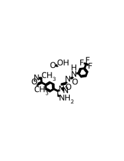 Cc1noc(C)c1-c1ccc([C@H](CN)[n+]2cc([N-]C(=O)Nc3cccc(C(F)(F)F)c3)on2)cc1.O=CO